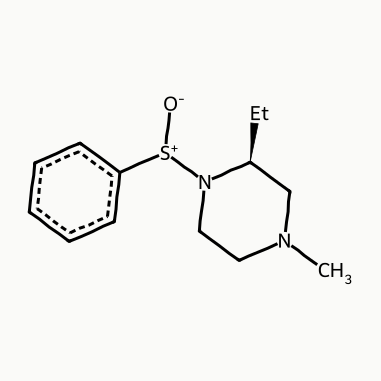 CC[C@H]1CN(C)CCN1[S+]([O-])c1ccccc1